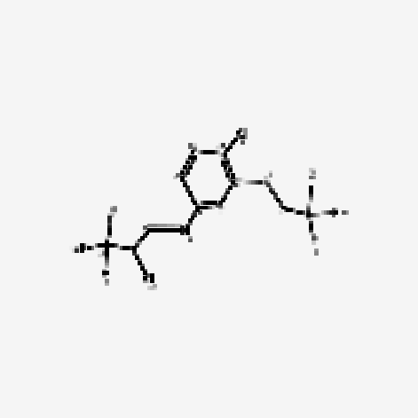 FC(F)(F)CSc1cc(/N=C/C(Cl)C(F)(F)F)ccc1Cl